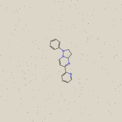 C1=CN2C(CCN2c2ccccc2)N=C1c1ccccn1